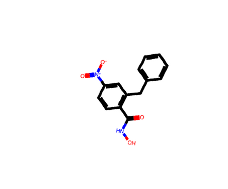 O=C(NO)c1ccc([N+](=O)[O-])cc1Cc1ccccc1